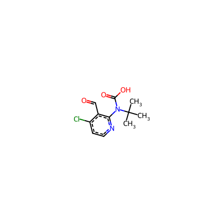 CC(C)(C)N(C(=O)O)c1nccc(Cl)c1C=O